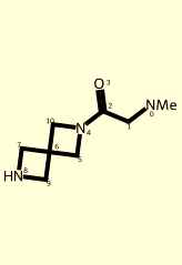 CNCC(=O)N1CC2(CNC2)C1